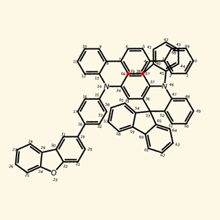 c1ccc(-c2ccc(-c3ccccc3N(c3ccc(-c4ccc5oc6ccccc6c5c4)cc3)c3cc4c5c(c3)c3ccccc3n5-c3ccccc3C43c4ccccc4-c4ccccc43)cc2)cc1